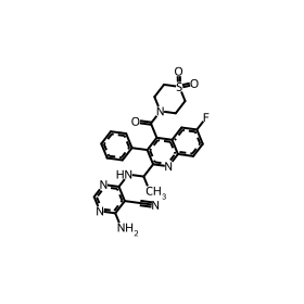 CC(Nc1ncnc(N)c1C#N)c1nc2ccc(F)cc2c(C(=O)N2CCS(=O)(=O)CC2)c1-c1ccccc1